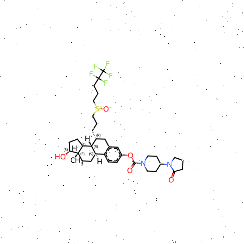 C[C@]12CC[C@@H]3c4ccc(OC(=O)N5CCC(N6CCCC6=O)CC5)cc4C[C@@H](CCC[S+]([O-])CCCC(F)(F)C(F)(F)F)[C@H]3[C@@H]1CC[C@@H]2O